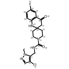 Cn1ncc(Cl)c1CNC(=O)N1CCC2(CC1)CC(=O)c1cc(F)ccc1N2